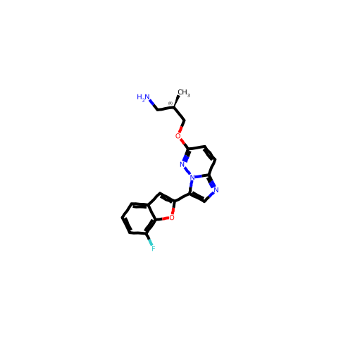 C[C@H](CN)COc1ccc2ncc(-c3cc4cccc(F)c4o3)n2n1